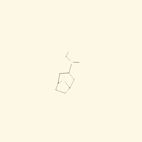 CCN(C)C1CC2CCC(C1)N2